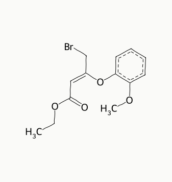 CCOC(=O)/C=C(/CBr)Oc1ccccc1OC